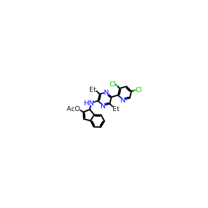 CCc1nc(-c2ncc(Cl)cc2Cl)c(CC)nc1NC1C(OC(C)=O)=Cc2ccccc21